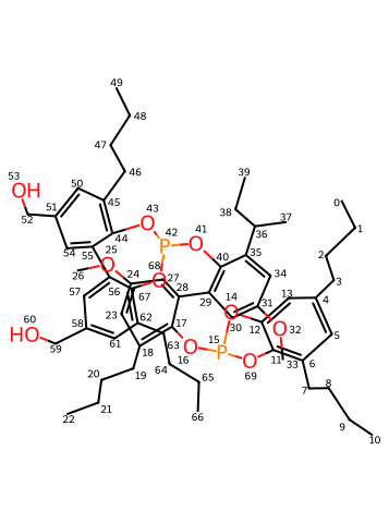 CCCCc1cc(CCCC)c2c(c1)OP(Oc1c(CCCC)cc(OC)cc1-c1cc(OC)cc(C(C)CC)c1Op1oc3c(CCCC)cc(CO)cc3c3cc(CO)cc(CCCC)c3o1)O2